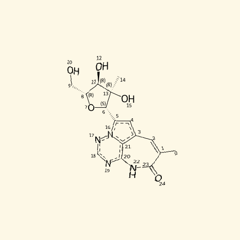 CC1=Cc2cc([C@@H]3O[C@H](CO)[C@@H](O)[C@@]3(C)O)n3ncnc(c23)NC1=O